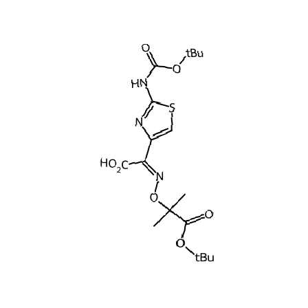 CC(C)(C)OC(=O)Nc1nc(C(=NOC(C)(C)C(=O)OC(C)(C)C)C(=O)O)cs1